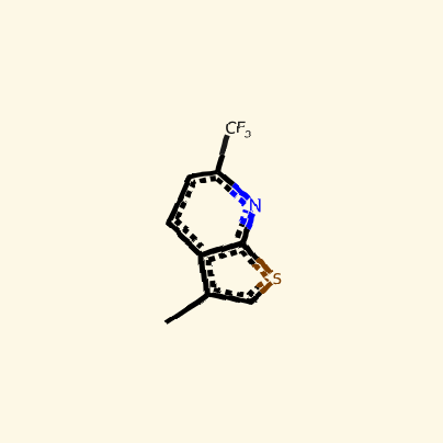 Cc1[c]sc2nc(C(F)(F)F)ccc12